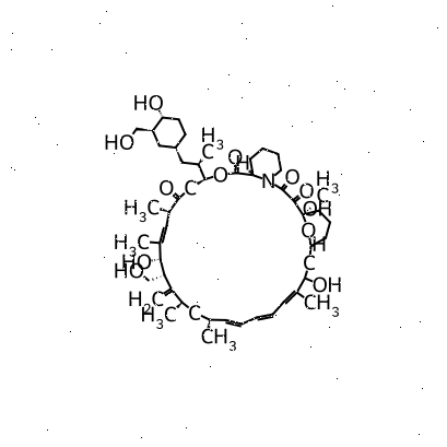 C=C1[C@H](C)C[C@H](C)/C=C/C=C/C=C(\C)C(O)C[C@@H]2CC[C@@H](C)[C@@](O)(O2)C(=O)C(=O)N2CCCC[C@H]2C(=O)O[C@H]([C@H](C)C[C@@H]2CC[C@@H](O)[C@H](CO)C2)CC(=O)[C@H](C)/C=C(\C)[C@@H](O)[C@H]1CO